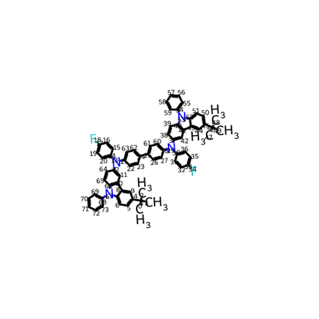 CC(C)(C)c1ccc2c(c1)c1cc(N(c3ccc(F)cc3)c3ccc(-c4ccc(N(c5ccc(F)cc5)c5ccc6c(c5)c5cc(C(C)(C)C)ccc5n6-c5ccccc5)cc4)cc3)ccc1n2-c1ccccc1